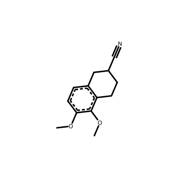 COc1ccc2c(c1OC)CCC(C#N)C2